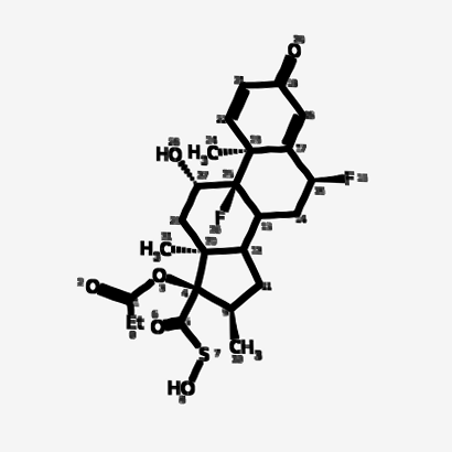 CCC(=O)O[C@]1(C(=O)SO)[C@H](C)CC2C3C[C@H](F)C4=CC(=O)C=C[C@]4(C)[C@@]3(F)[C@@H](O)C[C@@]21C